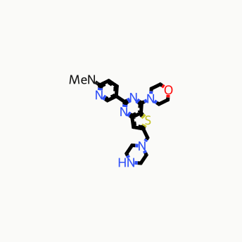 CNc1ccc(-c2nc(N3CCOCC3)c3sc(CN4CCNCC4)cc3n2)cn1